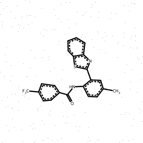 Cc1ccc(NC(=O)c2ccc(C(F)(F)F)cc2)c(-c2nc3ccccc3s2)c1